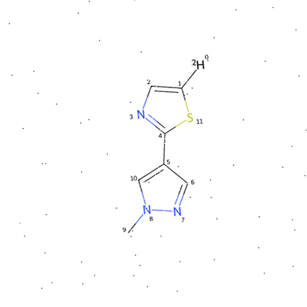 [2H]c1cnc(-c2cnn(C)c2)s1